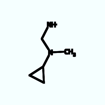 CN(C[NH])C1CC1